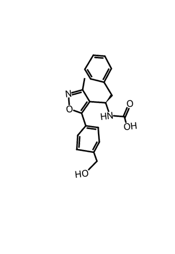 Cc1noc(-c2ccc(CO)cc2)c1[C@@H](Cc1ccccc1)NC(=O)O